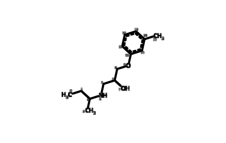 CCC(C)NCC(O)COc1cccc(C)c1